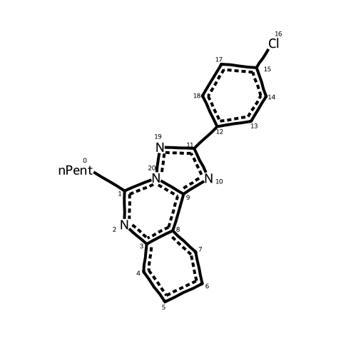 CCCCCc1nc2ccccc2c2nc(-c3ccc(Cl)cc3)nn12